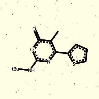 Cc1c(-c2cccs2)nc(NC(C)(C)C)oc1=O